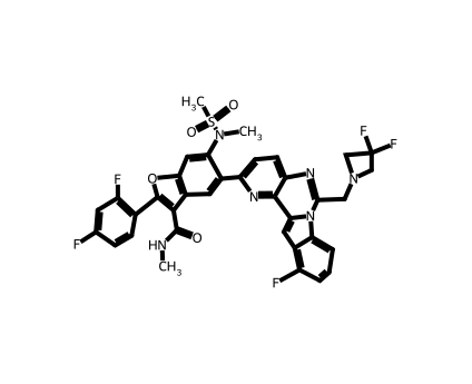 CNC(=O)c1c(-c2ccc(F)cc2F)oc2cc(N(C)S(C)(=O)=O)c(-c3ccc4nc(CN5CC(F)(F)C5)n5c6cccc(F)c6cc5c4n3)cc12